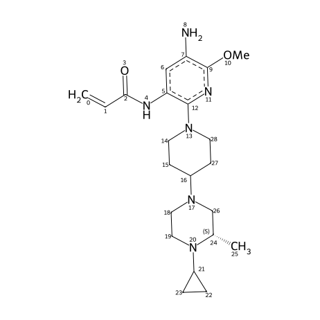 C=CC(=O)Nc1cc(N)c(OC)nc1N1CCC(N2CCN(C3CC3)[C@@H](C)C2)CC1